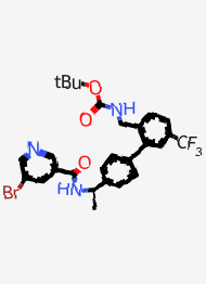 C[C@@H](NC(=O)c1cncc(Br)c1)c1ccc(-c2cc(C(F)(F)F)ccc2CNC(=O)OC(C)(C)C)cc1